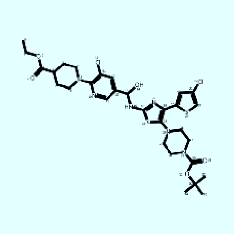 CCOC(=O)C1CCN(c2ncc(C(O)Nc3nc(-c4cc(Cl)cs4)c(N4CCN(C(=O)OC(C)(C)C)CC4)s3)cc2Cl)CC1